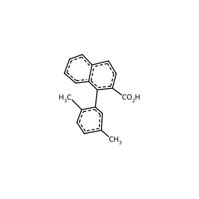 Cc1ccc(C)c(-c2c(C(=O)O)ccc3ccccc23)c1